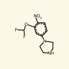 O=[N+]([O-])c1ccc(N2CCNCC2)cc1OC(F)F